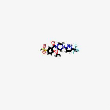 CC(C)Oc1ccc(S(C)(=O)=O)cc1C(=O)N1CCN(c2ccc(C(F)(F)F)nn2)CC1